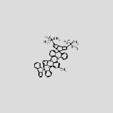 Cc1cc2c3c(c1)N1c4ccccc4[Si]4(c5ccccc5-c5ccccc54)c4cccc(c41)B3c1cccc3c1N2c1ccccc1C31c2ccc(C(C)(C)C)cc2-c2cc(C(C)(C)C)ccc21